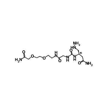 NNC[C@@H](CC(N)=O)NC(=O)NCC(=O)NCCOCCOCC(N)=O